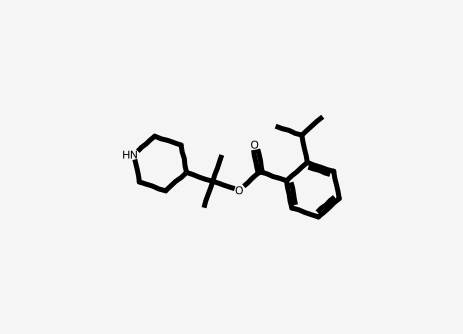 CC(C)c1ccccc1C(=O)OC(C)(C)C1CCNCC1